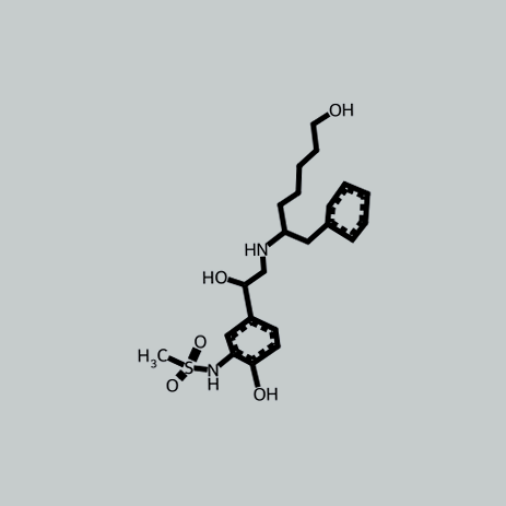 CS(=O)(=O)Nc1cc(C(O)CNC(CCCCCO)Cc2ccccc2)ccc1O